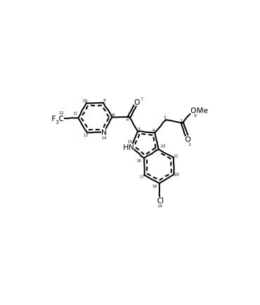 COC(=O)Cc1c(C(=O)c2ccc(C(F)(F)F)cn2)[nH]c2cc(Cl)ccc12